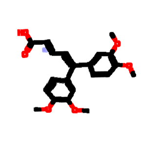 COc1ccc(C(=C/C=C/C(=O)O)c2ccc(OC)c(OC)c2)cc1OC